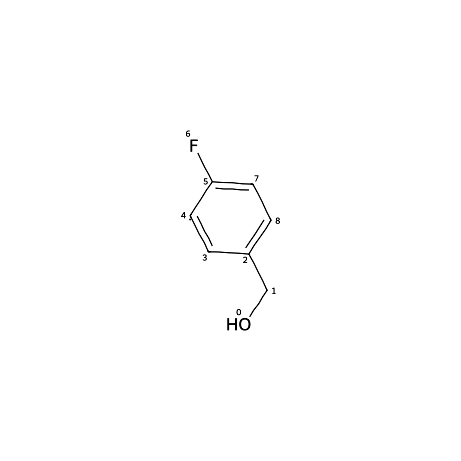 OCc1c[c]c(F)cc1